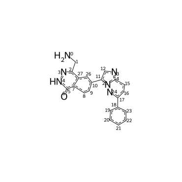 NCc1n[nH]c(=O)c2ccc(-c3cnc4ccc(-c5ccccc5)nn34)cc12